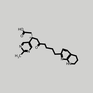 Cc1ncc([C@H](CC(=O)O)CC(=O)CCCCc2ccc3c(n2)NCCC3)cn1